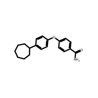 NC(=O)c1ccc(Oc2ccc(C3CCCCCC3)cc2)cc1